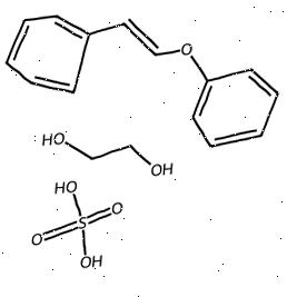 C(=Cc1ccccc1)Oc1ccccc1.O=S(=O)(O)O.OCCO